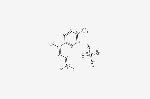 C[N+](C)=C/C=C(/Cl)c1ccc(C(F)(F)F)cc1.[O-][Cl+3]([O-])([O-])[O-]